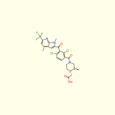 Cc1cc(C(F)(F)F)nc2c1cc(C(=O)c1c(Cl)ccc(C(=O)N3CC[C@@H](CC(=O)O)[C@H](C)C3)c1Cl)n2C